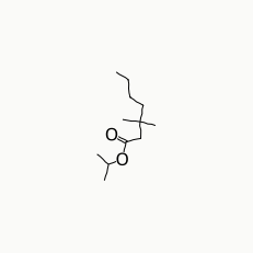 CCCCC(C)(C)CC(=O)OC(C)C